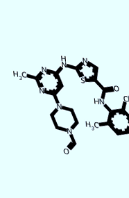 Cc1nc(Nc2ncc(C(=O)Nc3c(C)cccc3Cl)s2)cc(N2CCN(C=O)CC2)n1